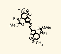 CCN(C(=O)OC)[C@H]1C[C@H](C)S(=O)(=O)c2sc(SSc3cc4c(s3)S(=O)(=O)[C@@H](C)C[C@@H]4N(CC)C(=O)OC)cc21